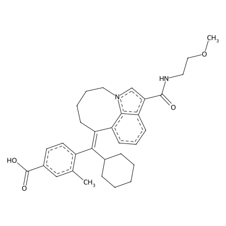 COCCNC(=O)c1cn2c3c(cccc13)/C(=C(/c1ccc(C(=O)O)cc1C)C1CCCCC1)CCCC2